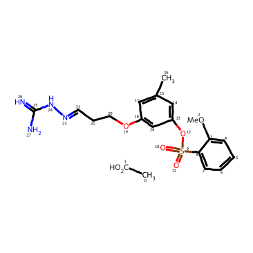 CC(=O)O.COc1ccccc1S(=O)(=O)Oc1cc(C)cc(OCCC=NNC(=N)N)c1